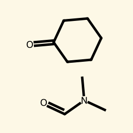 CN(C)C=O.O=C1CCCCC1